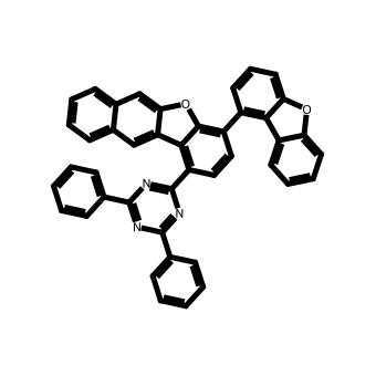 c1ccc(-c2nc(-c3ccccc3)nc(-c3ccc(-c4cccc5oc6ccccc6c45)c4oc5cc6ccccc6cc5c34)n2)cc1